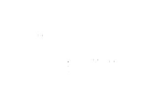 O=C(CCC1CCC(CO)O1)CCC1CCC(CO)O1